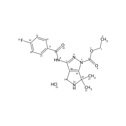 CCOC(=O)n1nc(NC(=O)c2ccc(F)cc2)c2c1C(C)(C)NC2.Cl